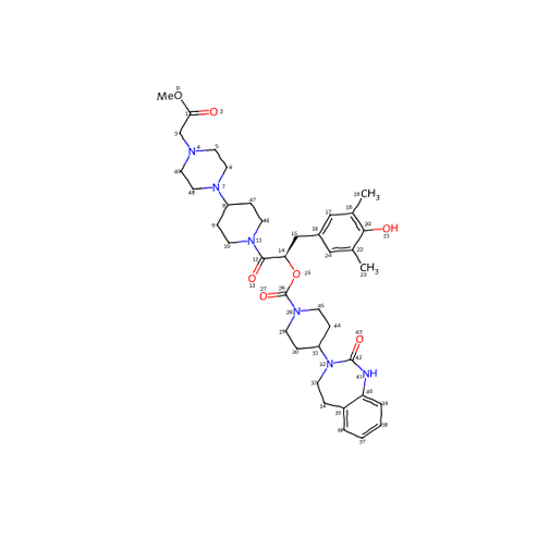 COC(=O)CN1CCN(C2CCN(C(=O)[C@@H](Cc3cc(C)c(O)c(C)c3)OC(=O)N3CCC(N4CCc5ccccc5NC4=O)CC3)CC2)CC1